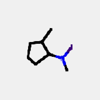 CC1CCCC1N(C)I